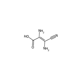 N#CC(N)=C(N)C(=O)O